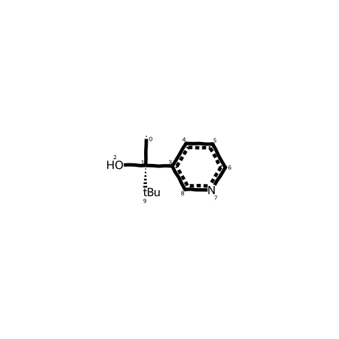 [CH2][C@](O)(c1cccnc1)C(C)(C)C